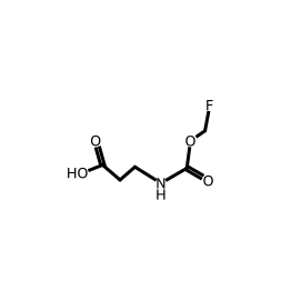 O=C(O)CCNC(=O)OCF